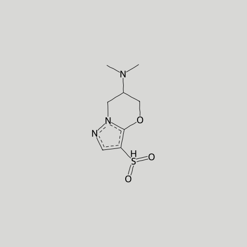 CN(C)C1COc2c([SH](=O)=O)cnn2C1